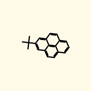 CC(C)(C)c1[c]c2ccc3cccc4ccc(c1)c2c34